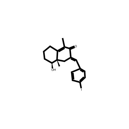 CC1=C2CCC[C@H](O)[C@@]2(C)CC(=Cc2ccc(I)cc2)C1=O